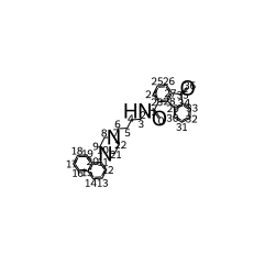 O=C(NCCCCN1CCN(c2cccc3ccccc23)CC1)c1cccc2c1-c1ccccc1C2=O